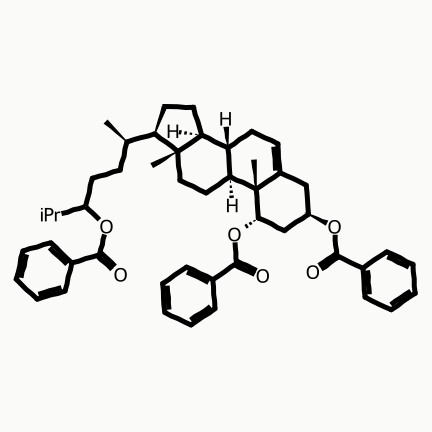 CC(C)C(CC[C@@H](C)[C@H]1CC[C@H]2[C@@H]3CC=C4C[C@@H](OC(=O)c5ccccc5)C[C@H](OC(=O)c5ccccc5)[C@]4(C)[C@H]3CC[C@]12C)OC(=O)c1ccccc1